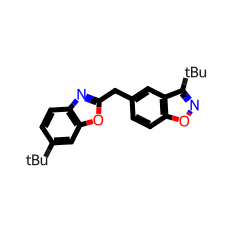 CC(C)(C)c1ccc2nc(Cc3ccc4onc(C(C)(C)C)c4c3)oc2c1